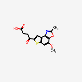 COc1cc2sc(C(=O)CCC(=O)O)cc2c2nc(C)oc12